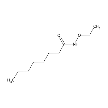 CCCCCCCC(=O)NOCC